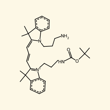 CC(C)(C)OC(=O)NCCC[N+]1=C(/C=C/C=C2\N(CCCN)c3ccccc3C2(C)C)C(C)(C)c2ccccc21